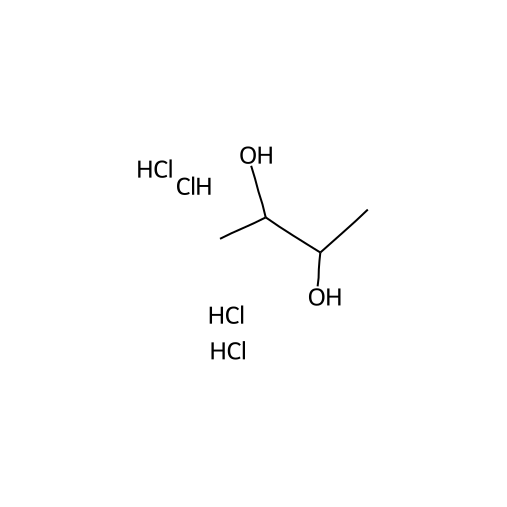 CC(O)C(C)O.Cl.Cl.Cl.Cl